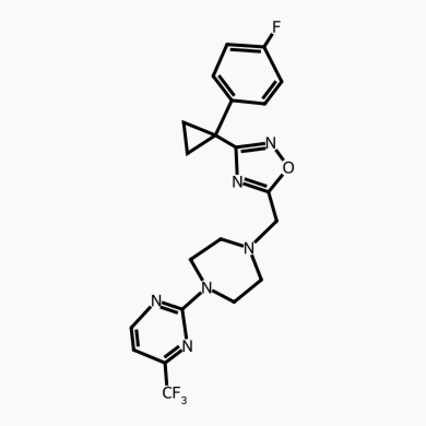 Fc1ccc(C2(c3noc(CN4CCN(c5nccc(C(F)(F)F)n5)CC4)n3)CC2)cc1